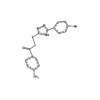 Cc1ccc(C(=O)CSc2nnc(-c3ccc(Br)cc3)[nH]2)cc1